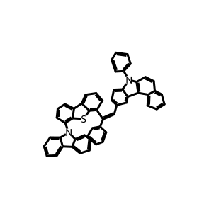 C(=C(\c1ccccc1)c1cccc2c1sc1c(-n3c4ccccc4c4ccccc43)cccc12)/c1ccc2c(c1)c1c3ccccc3ccc1n2-c1ccccc1